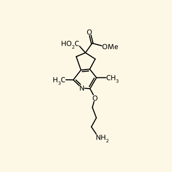 COC(=O)C1(C(=O)O)Cc2c(C)nc(OCCCN)c(C)c2C1